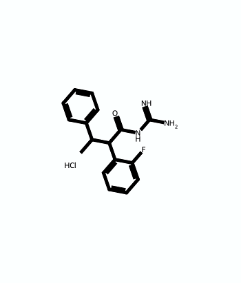 CC(c1ccccc1)C(C(=O)NC(=N)N)c1ccccc1F.Cl